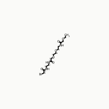 CCOCC(=O)NCCOCCOCC(=O)NCCNC(=O)CBr